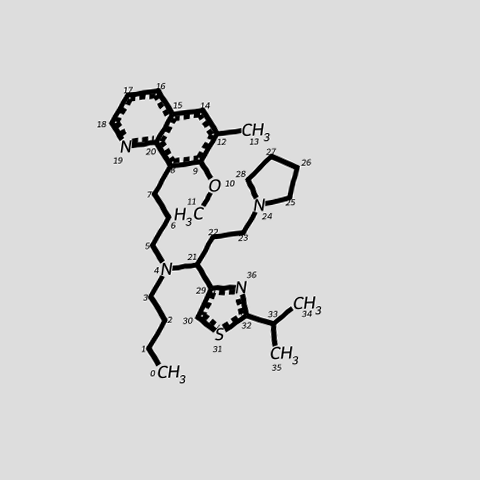 CCCCN(CCCc1c(OC)c(C)cc2cccnc12)C(CCN1CCCC1)c1csc(C(C)C)n1